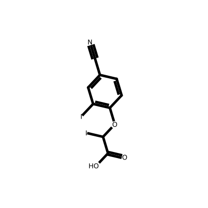 N#Cc1ccc(OC(I)C(=O)O)c(I)c1